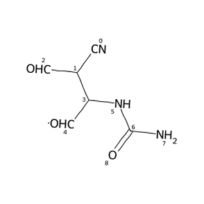 N#CC(C=O)C([C]=O)NC(N)=O